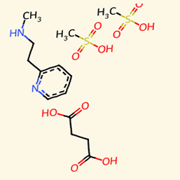 CNCCc1ccccn1.CS(=O)(=O)O.CS(=O)(=O)O.O=C(O)CCC(=O)O